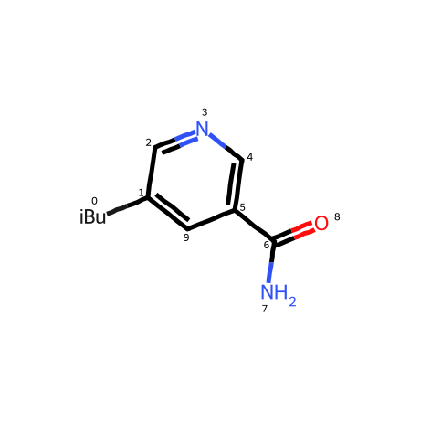 CCC(C)c1cncc(C(N)=O)c1